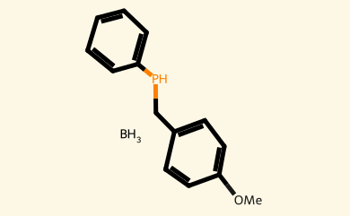 B.COc1ccc(CPc2ccccc2)cc1